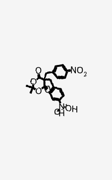 CC1(C)OC(=O)C(Cc2ccc([N+](=O)[O-])cc2)(Cc2ccc([NH+]([O-])O)cc2)C(=O)O1